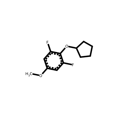 COc1cc(F)c(OC2CCCC2)c(F)c1